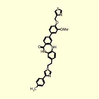 COc1cc(-c2ccc3c(c2)Nc2ccc(CCn4cnc(-c5ccc(C)cc5)c4)cc2NC3=O)ccc1OCc1cscn1